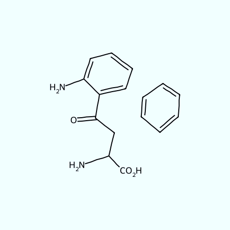 Nc1ccccc1C(=O)CC(N)C(=O)O.c1ccccc1